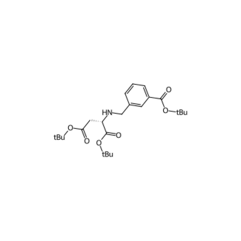 CC(C)(C)OC(=O)C[C@H](NCc1cccc(C(=O)OC(C)(C)C)c1)C(=O)OC(C)(C)C